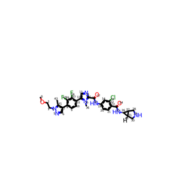 COCCn1ncc(-c2ccc(-c3cnc(C(=O)Nc4ccc(C(=O)N[C@H]5C6CNC[C@@H]65)c(Cl)c4)n3C)c(F)c2F)c1C